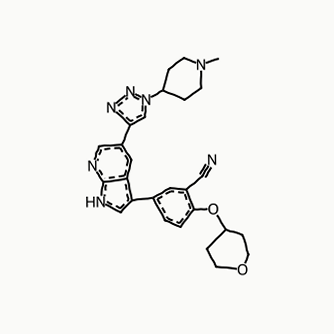 CN1CCC(n2cc(-c3cnc4[nH]cc(-c5ccc(OC6CCOCC6)c(C#N)c5)c4c3)nn2)CC1